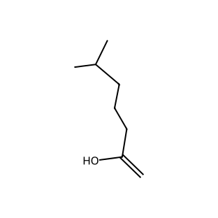 C=C(O)CCCC(C)C